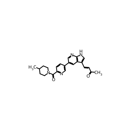 CC(=O)/C=C/c1c[nH]c2ncc(-c3ccc(C(=O)N4CCC(C)CC4)nc3)cc12